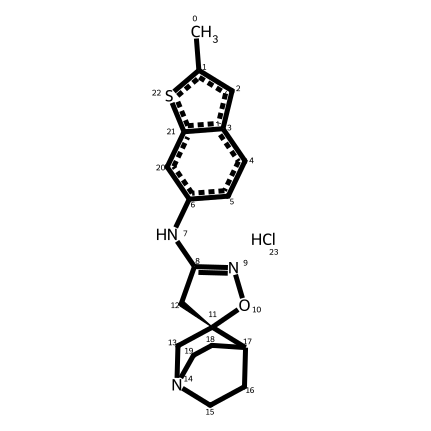 Cc1cc2ccc(NC3=NO[C@@]4(C3)CN3CCC4CC3)cc2s1.Cl